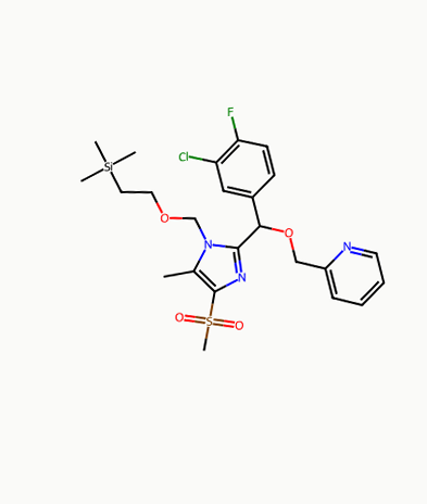 Cc1c(S(C)(=O)=O)nc(C(OCc2ccccn2)c2ccc(F)c(Cl)c2)n1COCC[Si](C)(C)C